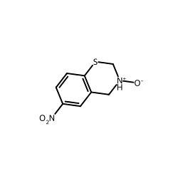 O=[N+]([O-])c1ccc2c(c1)C[NH+]([O-])CS2